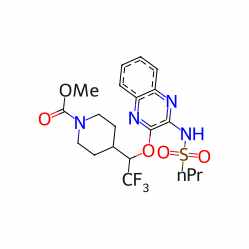 CCCS(=O)(=O)Nc1nc2ccccc2nc1OC(C1CCN(C(=O)OC)CC1)C(F)(F)F